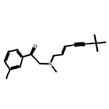 Cc1cccc(C(=O)CN(C)C/C=C/C#CC(C)(C)C)c1